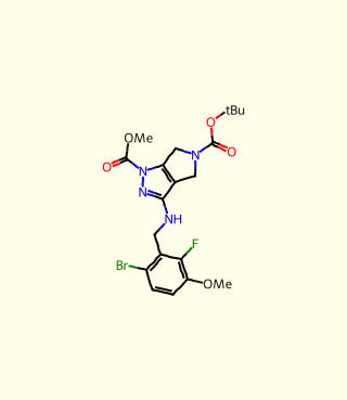 COC(=O)n1nc(NCc2c(Br)ccc(OC)c2F)c2c1CN(C(=O)OC(C)(C)C)C2